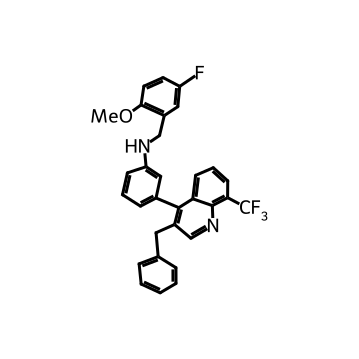 COc1ccc(F)cc1CNc1cccc(-c2c(Cc3ccccc3)cnc3c(C(F)(F)F)cccc23)c1